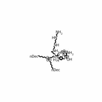 C=C(CC[C@H](NCCCP(=O)(OCCCCCCCCCCCCCCCC)OCCCCCCCCCCCCCCCC)C(=O)Nc1ccc(Cn2c(O)nc3c(N)nc(NCCCC)nc32)cc1)NCCCNCCCCNCCCN